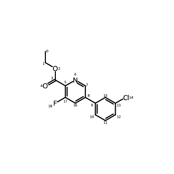 CCOC(=O)c1ncc(-c2cccc(Cl)c2)cc1F